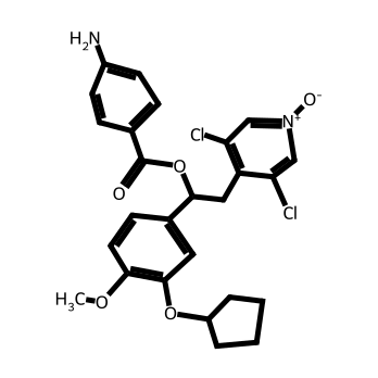 COc1ccc(C(Cc2c(Cl)c[n+]([O-])cc2Cl)OC(=O)c2ccc(N)cc2)cc1OC1CCCC1